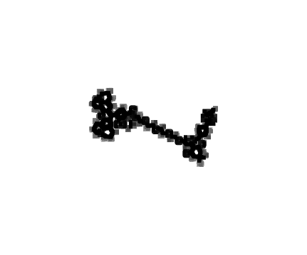 Cc1nnc(-c2ccc(CNC(CCOCCOCCOCCOCCNC(=O)c3ccc(C4=C5C=C6CCCN7CCCC(=C5Oc5c4cc4c8c5CCCN8CCC4)C67)c(C(=O)O)c3)=C3C(=O)CC(C)(C)CC3=O)cc2)nn1